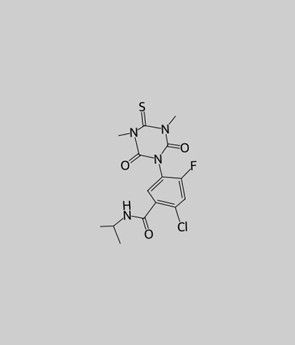 CC(C)NC(=O)c1cc(-n2c(=O)n(C)c(=S)n(C)c2=O)c(F)cc1Cl